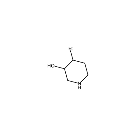 CCC1CCNCC1O